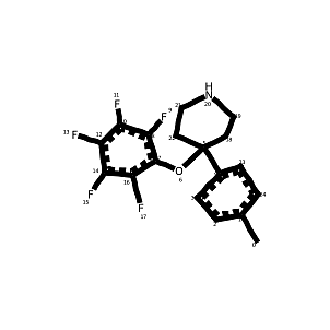 Cc1ccc(C2(Oc3c(F)c(F)c(F)c(F)c3F)CCNCC2)cc1